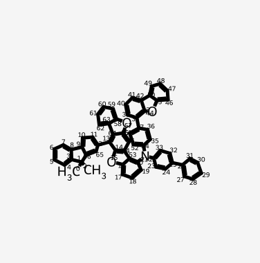 CC1(C)c2ccccc2-c2ccc(-c3c4oc5cccc(N(c6ccc(-c7ccccc7)cc6)c6ccc(-c7cccc8c7oc7ccccc78)cc6)c5c4cc4oc5ccccc5c34)cc21